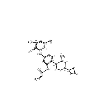 C=CC(=O)Nc1cc(Nc2nc(Br)cn(C)c2=O)ccc1N1CCN(C2COC2)C[C@@H]1C